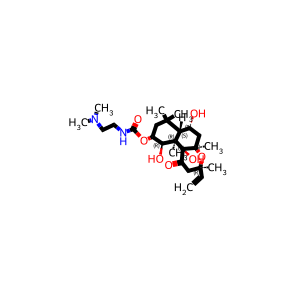 C=C[C@@]1(C)CC(=O)[C@]2(O)[C@@]3(C)[C@@H](O)C(OC(=O)NCCN(C)C)CC(C)(C)[C@@H]3[C@H](O)C[C@@]2(C)O1